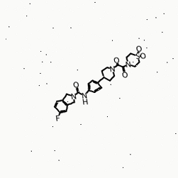 O=C(Nc1ccc(C2CCN(C(=O)C(=O)N3CCS(=O)(=O)CC3)CC2)cc1)N1Cc2ccc(F)cc2C1